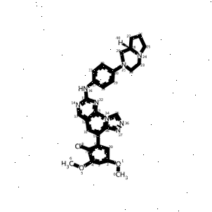 COc1cc(OC)c(Cl)c(-c2cc3cnc(Nc4ccc(N5CCN6CCC[C@H]6C5)cc4)nc3n3cnnc23)c1